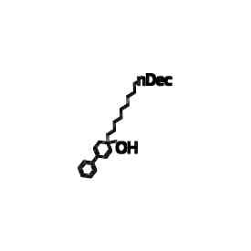 CCCCCCCCCCCCCCCCCCCC1(CO)C=CC(c2ccccc2)=CC1